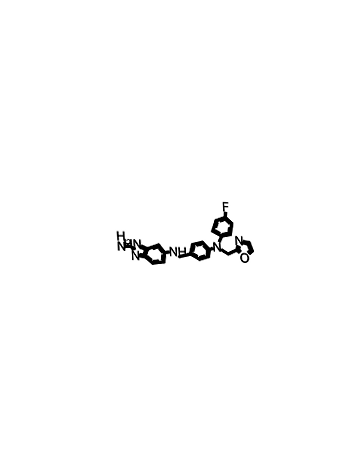 Nc1nc2ccc(NCc3ccc(N(Cc4ncco4)c4ccc(F)cc4)cc3)cc2[nH]1